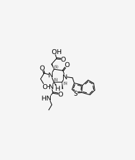 CCNC(=O)N1OCC(=O)N2[C@@H]1[C@H](C)N(Cc1csc3ccccc13)C(=O)[C@@H]2CC(=O)O